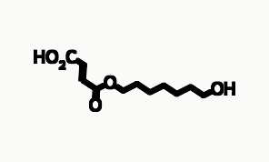 O=C(O)C=CC(=O)OCCCCCCCO